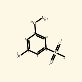 CS(=O)(=O)c1cc(Br)cc(OC(F)(F)F)c1